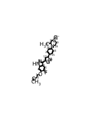 COCCOc1cc2[nH]nc(-c3cc(-c4ccc(N5CC[S+]([O-])CC5C)cc4)no3)c2cc1F